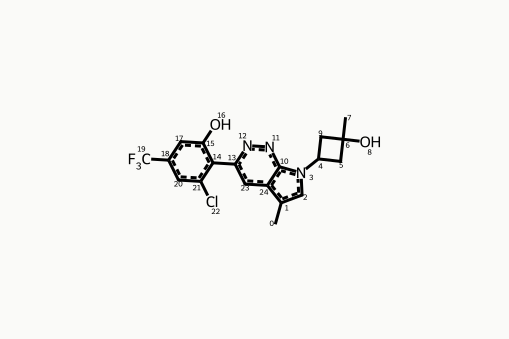 Cc1cn(C2CC(C)(O)C2)c2nnc(-c3c(O)cc(C(F)(F)F)cc3Cl)cc12